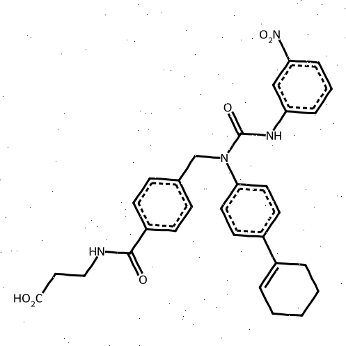 O=C(O)CCNC(=O)c1ccc(CN(C(=O)Nc2cccc([N+](=O)[O-])c2)c2ccc(C3=CCCCC3)cc2)cc1